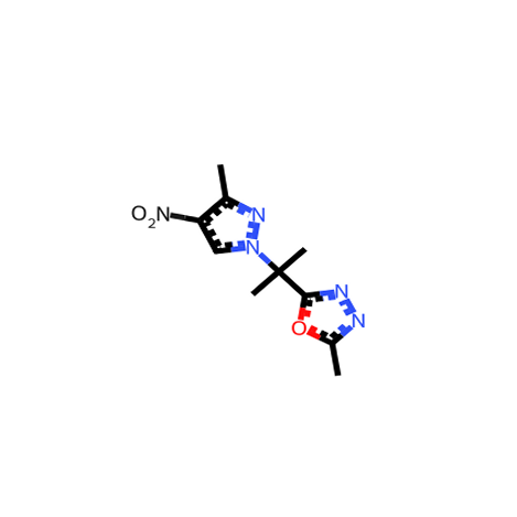 Cc1nnc(C(C)(C)n2cc([N+](=O)[O-])c(C)n2)o1